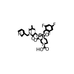 CC(C)C[C@H](NC(=O)[C@@H]1CN(C(=O)O)CCN1S(=O)(=O)Cc1c(F)cc(F)cc1F)C(=O)NCc1cccnc1